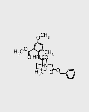 CC[N+](CC)(CC(=O)OCc1ccccc1)C1(C(=O)Nc2c(C)cc(OC)cc2C(=O)OC)CCC1